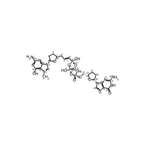 C[n+]1cn([C@H]2CC[C@@H](C/C=C/P(=O)(O)OP(=O)(O)OP(=O)(O)OC[C@@H]3CC[C@H](n4cnc5c(=O)[nH]c(N)nc54)O3)O2)c2nc(N)nc(O)c21